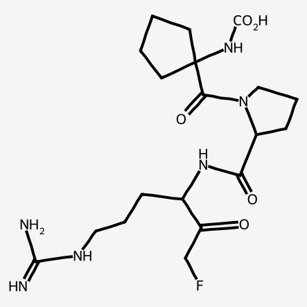 N=C(N)NCCCC(NC(=O)C1CCCN1C(=O)C1(NC(=O)O)CCCC1)C(=O)CF